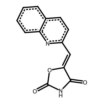 O=C1NC(=O)C(=Cc2ccc3ccccc3n2)O1